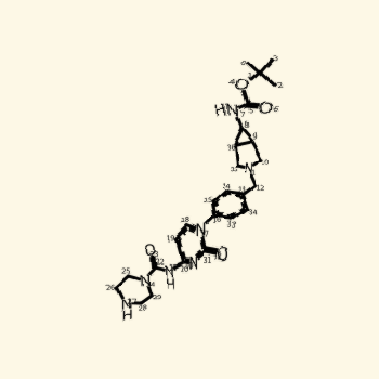 CC(C)(C)OC(=O)NC1C2CN(Cc3ccc(-n4ccc(NC(=O)N5CCNCC5)nc4=O)cc3)CC21